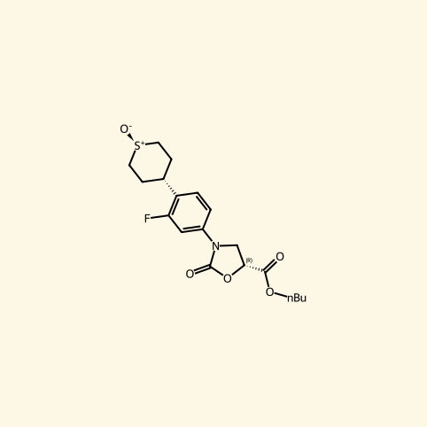 CCCCOC(=O)[C@H]1CN(c2ccc([C@H]3CC[S@+]([O-])CC3)c(F)c2)C(=O)O1